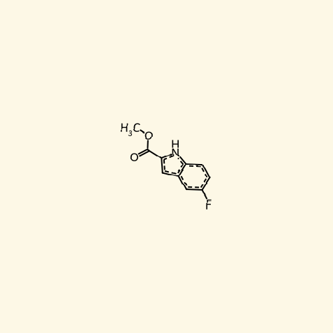 COC(=O)c1cc2cc(F)ccc2[nH]1